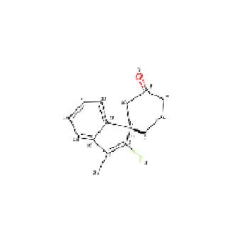 CC1=C(F)[C@]2(CCCC(=O)C2)c2ccccc21